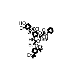 CCC(Oc1ccc(C(C)(C)CC)cc1C(C)(C)CC)C(=O)Nc1cc(OC(Cl)(C(=O)Nc2ccccc2)C(=O)C(C)(C)C)c(Cl)c(S(=O)(=O)c2ccc(O)c(Cl)c2)c1